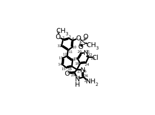 COc1cc(OS(C)(=O)=O)cc(-c2cccc(C3(c4ccnc(Cl)c4)N=C(N)NC3=O)c2)c1